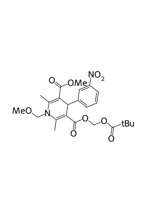 COCN1C(C)=C(C(=O)OC)C(c2cccc([N+](=O)[O-])c2)C(C(=O)OCOC(=O)C(C)(C)C)=C1C